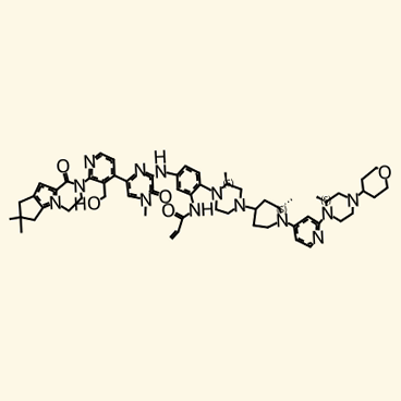 C=CC(=O)Nc1cc(Nc2nc(-c3ccnc(N4CCn5c(cc6c5CC(C)(C)C6)C4=O)c3CO)cn(C)c2=O)ccc1N1CCN(C2CCN(c3ccnc(N4CCN(C5CCOCC5)C[C@@H]4C)c3)[C@@H](C)C2)C[C@@H]1C